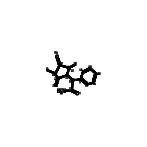 CN1C(=O)C(N(C(N)=O)c2ccccc2)N(C)C1=O